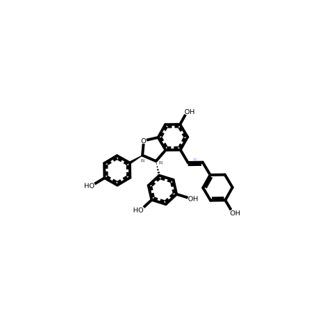 OC1=CC=C(/C=C/c2cc(O)cc3c2[C@H](c2cc(O)cc(O)c2)[C@@H](c2ccc(O)cc2)O3)CC1